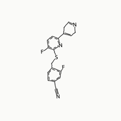 N#Cc1ccc(CSc2nc(C3=CCN=CC3)ccc2F)c(F)c1